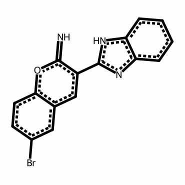 N=c1oc2ccc(Br)cc2cc1-c1nc2ccccc2[nH]1